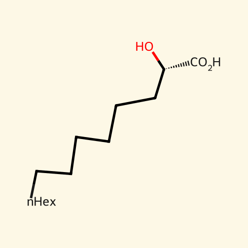 CCCCCCCCCCCC[C@H](O)C(=O)O